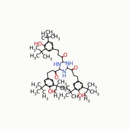 CC(C)(C)c1cc(CCC(=O)C2NC(C(=O)CCc3cc(C(C)(C)C)c(O)c(C(C)(C)C)c3)NC(C(=O)CCc3cc(C(C)(C)C)c(O)c(C(C)(C)C)c3)N2)cc(C(C)(C)C)c1O